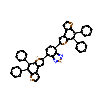 c1ccc(-c2c(-c3ccccc3)c3sc(-c4ccc(-c5cc6c(s5)c(-c5ccccc5)c(-c5ccccc5)c5sccc56)c5nsnc45)cc3c3ccsc23)cc1